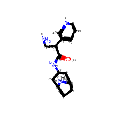 CN1C2CCC1CC(NC(=O)C(CN)c1cccnc1)C2